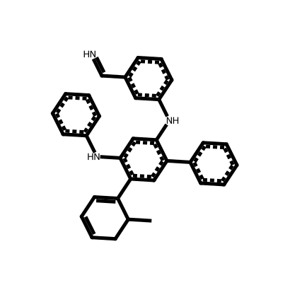 CC1CC=CC=C1c1cc(-c2ccccc2)c(Nc2cccc(C=N)c2)cc1Nc1ccccc1